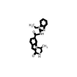 CCn1c(NC(=O)c2ccc3cc4n(c3c2)C(C)CNC4=O)nc2ccccc21